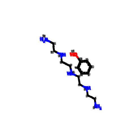 NCCNCCNCCNCCN.Oc1ccccc1